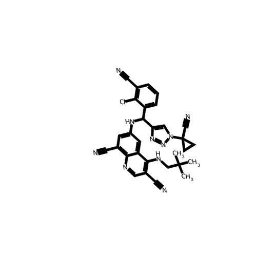 CC(C)(C)CNc1c(C#N)cnc2c(C#N)cc(NC(c3cn(C4(C#N)CC4)nn3)c3cccc(C#N)c3Cl)cc12